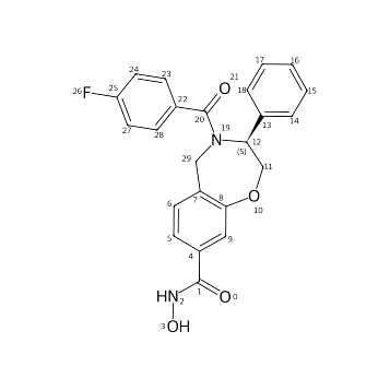 O=C(NO)c1ccc2c(c1)OC[C@H](c1ccccc1)N(C(=O)c1ccc(F)cc1)C2